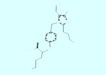 CCCCc1nc(Cl)c(CO)n1Cc1ccc(OC(CCCC)C(=O)O)cc1